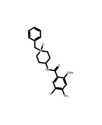 COc1cc(N)c(Cl)cc1C(=O)NC1CC[N+]([O-])(Cc2ccccc2)CC1